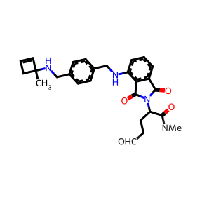 CNC(=O)C(CCC=O)N1C(=O)c2cccc(NCc3ccc(CNC4(C)C=CC4)cc3)c2C1=O